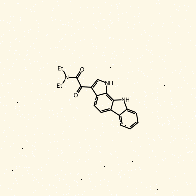 CCN(CC)C(=O)C(=O)c1c[nH]c2c1ccc1c3ccccc3[nH]c12